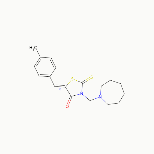 Cc1ccc(/C=C2\SC(=S)N(CN3CCCCCC3)C2=O)cc1